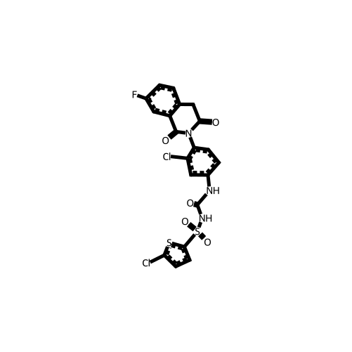 O=C(Nc1ccc(N2C(=O)Cc3ccc(F)cc3C2=O)c(Cl)c1)NS(=O)(=O)c1ccc(Cl)s1